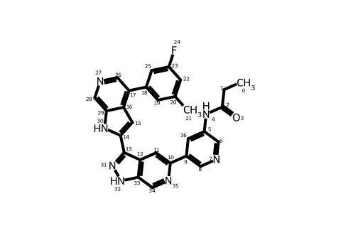 CCC(=O)Nc1cncc(-c2cc3c(-c4cc5c(-c6cc(C)cc(F)c6)cncc5[nH]4)n[nH]c3cn2)c1